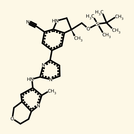 Cc1nc2c(cc1Nc1nccc(-c3cc(C#N)c4c(c3)[C@@](C)(CO[Si](C)(C)C(C)(C)C)CN4)n1)COCC2